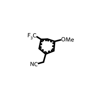 COc1cc(CC#N)cc(C(F)(F)F)c1